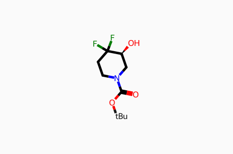 CC(C)(C)OC(=O)N1CCC(F)(F)[C@@H](O)C1